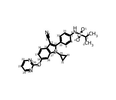 CC(C)S(=O)(=O)Nc1ccc(-c2c(C#N)c3ccc(Oc4ncccn4)cc3n2C2CC2)cc1